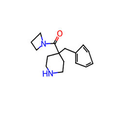 O=C(N1CCC1)C1(Cc2ccccc2)CCNCC1